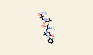 CC(C)[C@H](C[C@H](O)[C@@H](N)CN1CC(=O)N(c2ccccc2Cl)CC1(C)C)C(=O)NCC(C)(C)C(N)=O